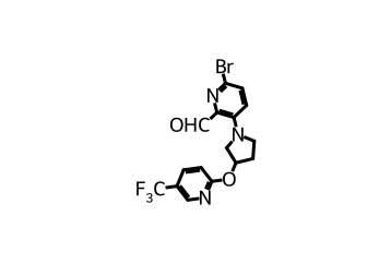 O=Cc1nc(Br)ccc1N1CCC(Oc2ccc(C(F)(F)F)cn2)C1